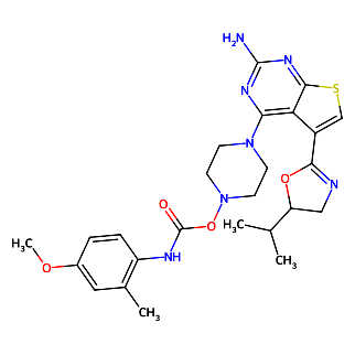 COc1ccc(NC(=O)ON2CCN(c3nc(N)nc4scc(C5=NCC(C(C)C)O5)c34)CC2)c(C)c1